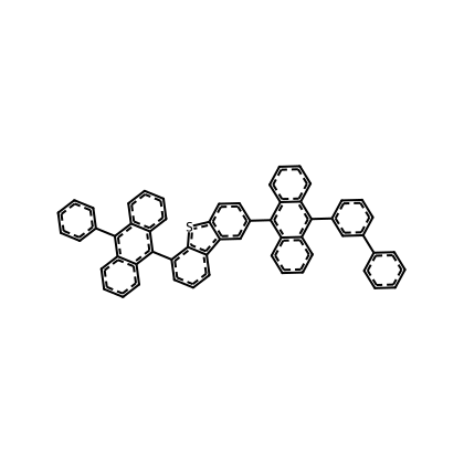 c1ccc(-c2cccc(-c3c4ccccc4c(-c4ccc5sc6c(-c7c8ccccc8c(-c8ccccc8)c8ccccc78)cccc6c5c4)c4ccccc34)c2)cc1